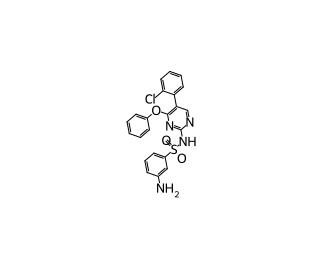 Nc1cccc(S(=O)(=O)Nc2ncc(-c3ccccc3Cl)c(Oc3ccccc3)n2)c1